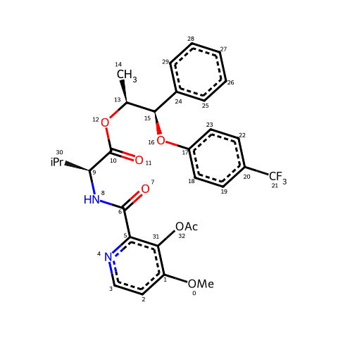 COc1ccnc(C(=O)N[C@H](C(=O)O[C@@H](C)[C@H](Oc2ccc(C(F)(F)F)cc2)c2ccccc2)C(C)C)c1OC(C)=O